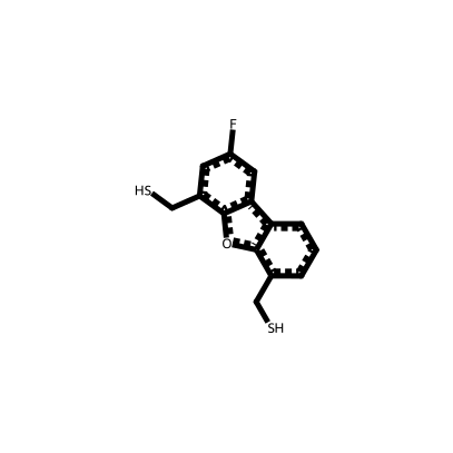 Fc1cc(CS)c2oc3c(CS)cccc3c2c1